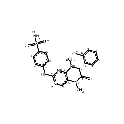 CN1C(=O)[C@@H](c2ccccc2Cl)N(C)c2nc(Nc3ccc(S(N)(=O)=O)cc3)ncc21